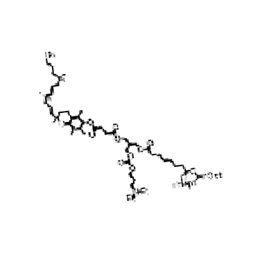 CCCCCCCCC(CCCCCCC)OC(=O)CCCCCCC(=O)OCC(COC(=O)CCC(=O)Oc1c(C)c(C)c2c(c1C)CC[C@@](C)(CCC[C@H](C)CCC[C@H](C)CCCC(C)C)O2)COC(=O)OCCCN(CC)CC